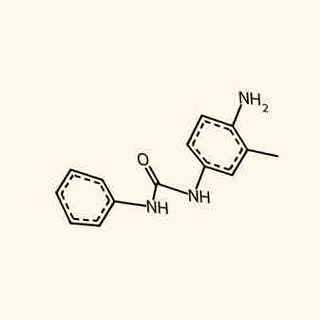 Cc1cc(NC(=O)Nc2ccccc2)ccc1N